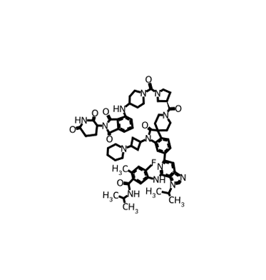 Cc1cc(F)c(Nc2nc(-c3ccc4c(c3)N(C3CC(N5CCCCC5)C3)C(=O)C43CCN(C(=O)[C@@H]4CCN(C(=O)N5CCC(Nc6cccc7c6C(=O)N(C6CCC(=O)NC6=O)C7=O)CC5)C4)CC3)cc3ncn(C(C)C)c23)cc1C(=O)NC(C)C